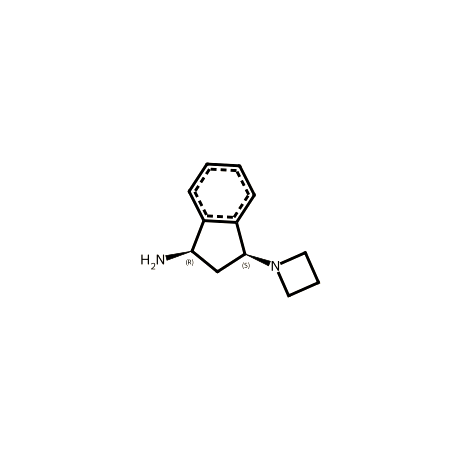 N[C@@H]1C[C@H](N2CCC2)c2ccccc21